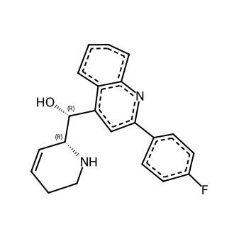 O[C@H](c1cc(-c2ccc(F)cc2)nc2ccccc12)[C@H]1C=CCCN1